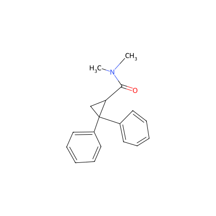 CN(C)C(=O)C1CC1(c1ccccc1)c1ccccc1